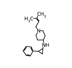 CC(C)=CCN1CCC(NC2CC2c2ccccc2)CC1